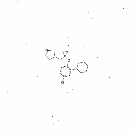 Clc1ccc(OC2(CC3CCNC3)CC2)c(C2CCCCC2)c1